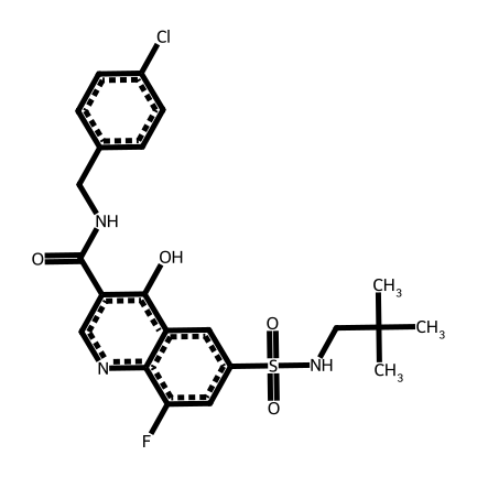 CC(C)(C)CNS(=O)(=O)c1cc(F)c2ncc(C(=O)NCc3ccc(Cl)cc3)c(O)c2c1